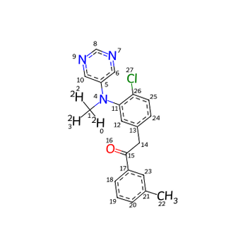 [2H]C([2H])([2H])N(c1cncnc1)c1cc(CC(=O)c2cccc(C)c2)ccc1Cl